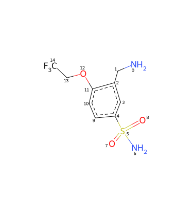 NCc1cc(S(N)(=O)=O)ccc1OCC(F)(F)F